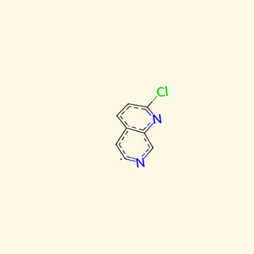 Clc1ccc2c[c]ncc2n1